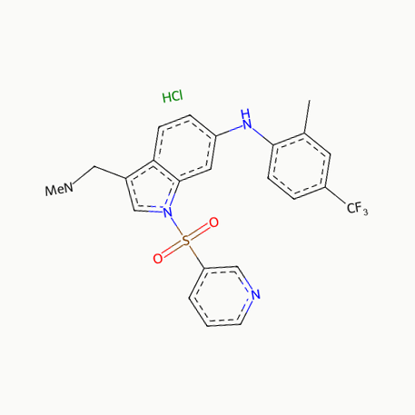 CNCc1cn(S(=O)(=O)c2cccnc2)c2cc(Nc3ccc(C(F)(F)F)cc3C)ccc12.Cl